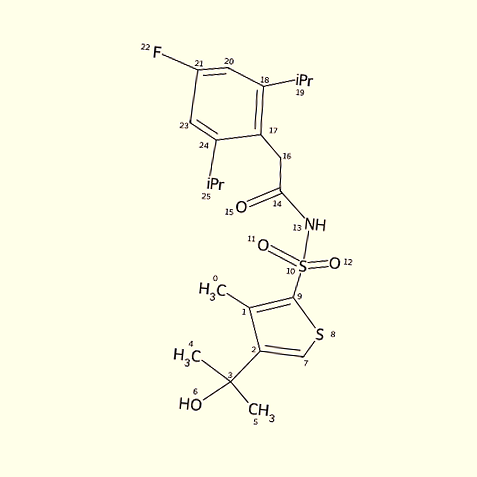 Cc1c(C(C)(C)O)csc1S(=O)(=O)NC(=O)Cc1c(C(C)C)cc(F)cc1C(C)C